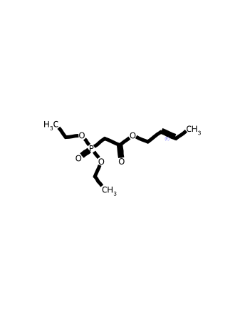 C/C=C/COC(=O)CP(=O)(OCC)OCC